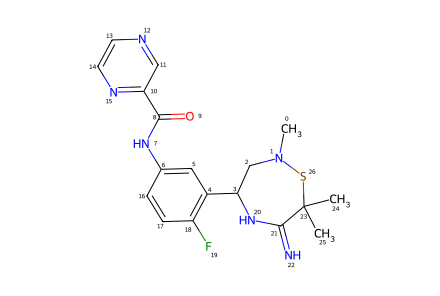 CN1CC(c2cc(NC(=O)c3cnccn3)ccc2F)NC(=N)C(C)(C)S1